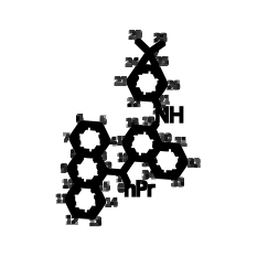 CCCC(c1c2ccccc2cc2ccccc12)c1ccc(Nc2ccc3c(c2)C3(C)C)c2ccccc12